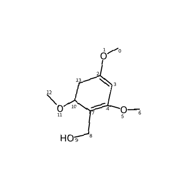 COC1=CC(OC)=C(CO)C(OC)C1